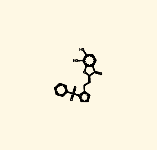 O=C1C(=CCc2cccn2S(=O)(=O)c2ccccc2)Oc2c1ccc(O)c2O